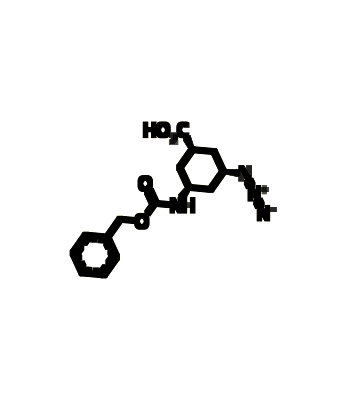 [N-]=[N+]=N[C@H]1C[C@@H](NC(=O)OCc2ccccc2)C[C@@H](C(=O)O)C1